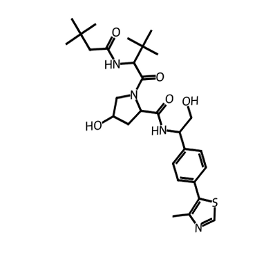 Cc1ncsc1-c1ccc(C(CO)NC(=O)C2CC(O)CN2C(=O)C(NC(=O)CC(C)(C)C)C(C)(C)C)cc1